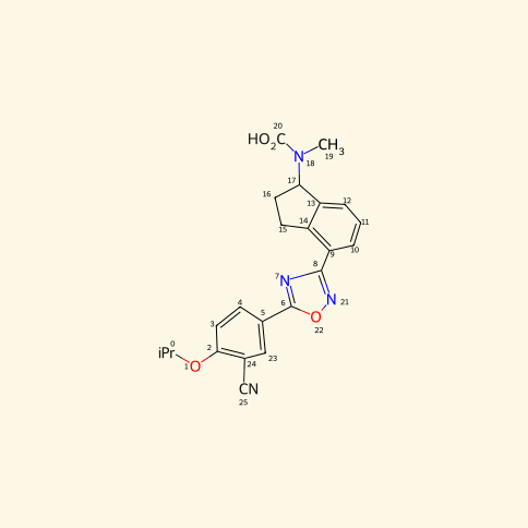 CC(C)Oc1ccc(-c2nc(-c3cccc4c3CCC4N(C)C(=O)O)no2)cc1C#N